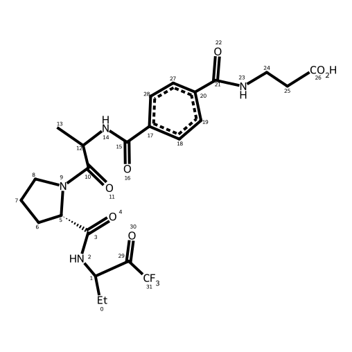 CCC(NC(=O)[C@@H]1CCCN1C(=O)C(C)NC(=O)c1ccc(C(=O)NCCC(=O)O)cc1)C(=O)C(F)(F)F